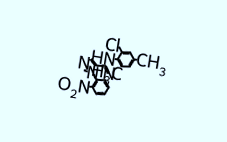 Cc1cc(C)c(Nc2nc3cccc([N+](=O)[O-])c3n3cncc23)c(Cl)c1